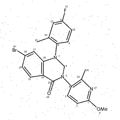 COc1ccc(N2CN(c3ccc(F)cc3C)c3cc(Br)ccc3C2=O)c(C)n1